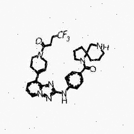 O=C(CCC(F)(F)F)N1CC=C(c2cccn3nc(Nc4ccc(C(=O)N5CCCC56CCCNC6)cc4)nc23)CC1